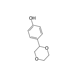 Oc1ccc(C2COCCO2)cc1